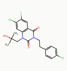 CC(C)(O)Cn1c(=O)n(CCc2ccc(Cl)cc2)c(=O)c2cc(F)c(Cl)cc21